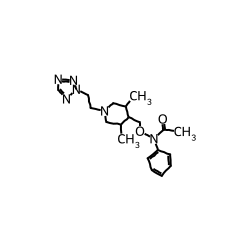 CC(=O)N(OCC1C(C)CN(CCn2ncnn2)CC1C)c1ccccc1